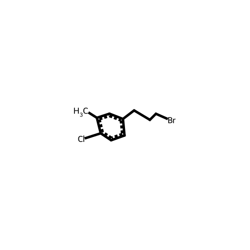 Cc1cc(CCCBr)ccc1Cl